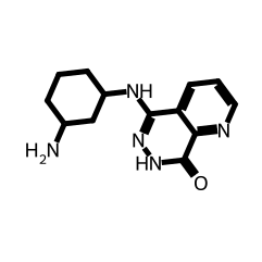 NC1CCCC(Nc2n[nH]c(=O)c3ncccc23)C1